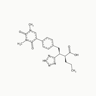 CCC[C@H](C(=O)O)[C@H](Cc1ccc(-c2cn(C)c(=O)n(C)c2=O)cc1)c1nn[nH]n1